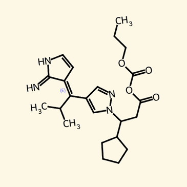 CCCOC(=O)OC(=O)CC(C1CCCC1)n1cc(/C(=C2\C=CNC2=N)C(C)C)cn1